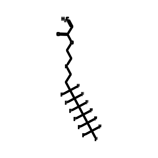 C=CC(=O)OCCSCCC(F)(F)C(F)(F)C(F)(F)C(F)(F)C(F)(F)C(F)(F)F